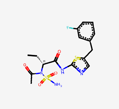 CC[C@H](C(=O)Nc1ncc(Cc2cccc(F)c2)s1)N(C(C)=O)S(N)(=O)=O